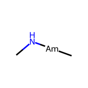 C[NH][Am][CH3]